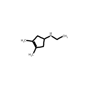 CCNC1CC(C)=C(C)C1